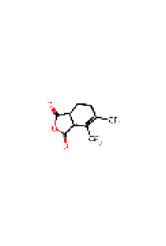 O=C1OC(=O)C2C(C(F)(F)F)=C(C(F)(F)F)CCC12